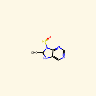 O=CC1Nc2cncnc2N1[SH]=O